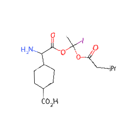 CC(C)CC(=O)OC(C)(I)OC(=O)C(N)C1CCC(C(=O)O)CC1